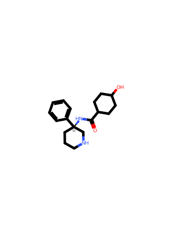 O=C(N[C@]1(c2ccccc2)CCCNC1)C1CCC(O)CC1